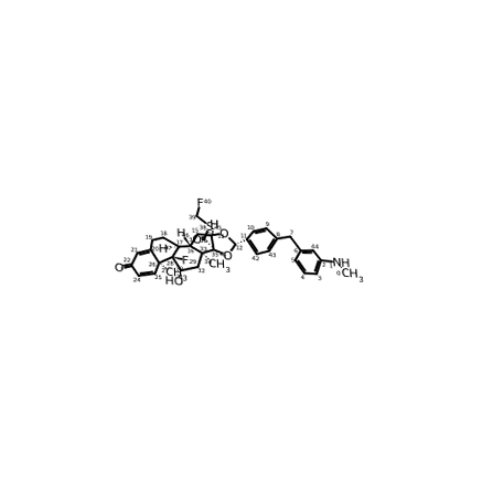 CNc1cccc(Cc2ccc([C@H]3O[C@@H]4C[C@H]5[C@@H]6CCC7=CC(=O)C=C[C@]7(C)[C@@]6(F)[C@@H](O)C[C@]5(C)[C@]4(C(=O)SCF)O3)cc2)c1